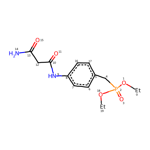 CCOP(=O)(Cc1ccc(NC(=O)CC(N)=O)cc1)OCC